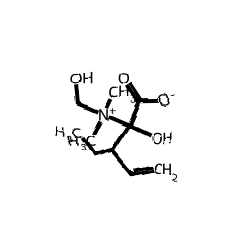 C=CC(CC)C(O)(C(=O)[O-])[N+](C)(C)CO